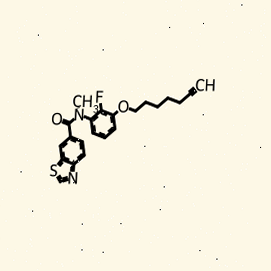 C#CCCCCCOc1cccc(N(C)C(=O)c2ccc3ncsc3c2)c1F